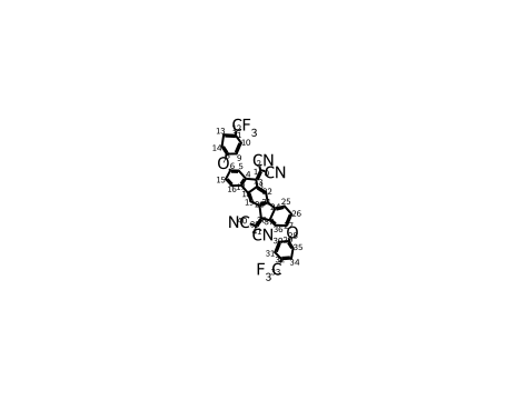 N#CC(C#N)=C1c2cc(Oc3ccc(C(F)(F)F)cc3)ccc2-c2cc3c(cc21)-c1ccc(Oc2ccc(C(F)(F)F)cc2)cc1C3=C(C#N)C#N